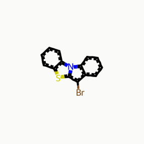 Brc1c2ccccc2n2c1sc1ccccc12